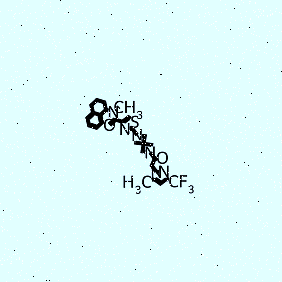 Cc1cc(C(F)(F)F)nn1CC(=O)N1CC2(C1)CN(c1nc(C(=O)N(C)C3CCCc4ccccc43)cs1)C2